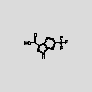 O=C(O)c1c[nH]c2cc(C(F)(F)F)ccc12